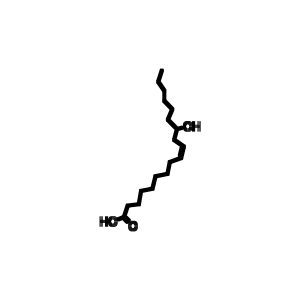 CCCCCCC(O)C/C=C\CCCCCCCC(=O)O